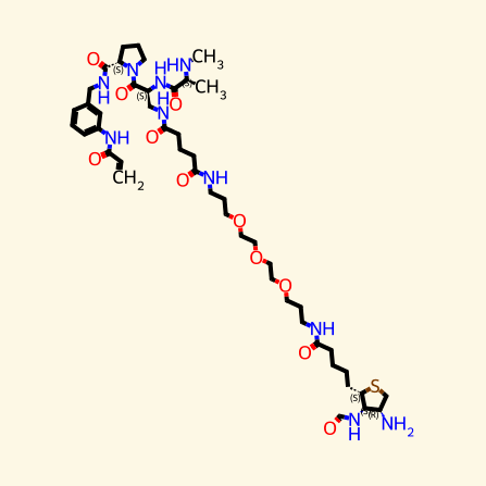 C=CC(=O)Nc1cccc(CNC(=O)[C@@H]2CCCN2C(=O)[C@H](CNC(=O)CCCC(=O)NCCCOCCOCCOCCCNC(=O)CCCC[C@@H]2SC[C@H](N)[C@@H]2NC=O)NC(=O)[C@H](C)NC)c1